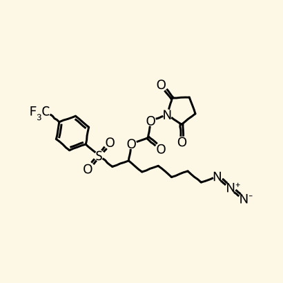 [N-]=[N+]=NCCCCCC(CS(=O)(=O)c1ccc(C(F)(F)F)cc1)OC(=O)ON1C(=O)CCC1=O